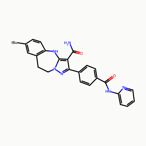 CC(C)(C)c1ccc2c(c1)CCn1nc(-c3ccc(C(=O)Nc4ccccn4)cc3)c(C(N)=O)c1N2